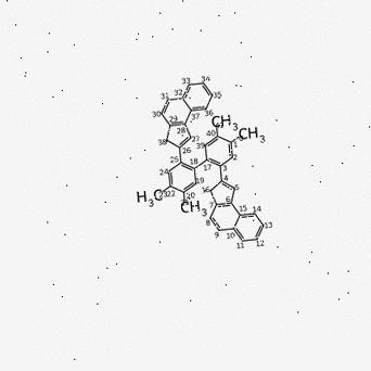 Cc1cc(C2=Cc3c(ccc4ccccc34)C2)c(-c2cc(C)c(C)cc2C2=Cc3c(ccc4ccccc34)C2)cc1C